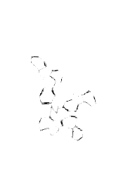 c1cc(-c2cccc3c2sc2ccccc23)cc(N(c2ccc3c(c2)sc2ccccc23)c2cccc3oc4c5ccccc5ccc4c23)c1